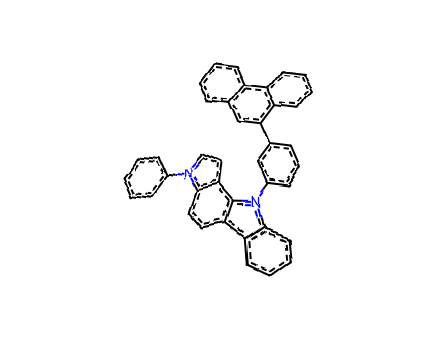 c1ccc(-n2ccc3c2ccc2c4ccccc4n(-c4cccc(-c5cc6ccccc6c6ccccc56)c4)c23)cc1